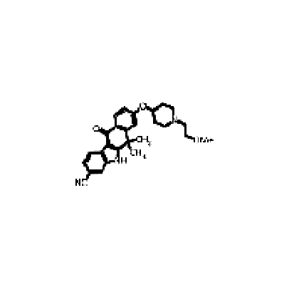 COCCN1CCC(Oc2ccc3c(c2)C(C)(C)c2[nH]c4cc(C#N)ccc4c2C3=O)CC1